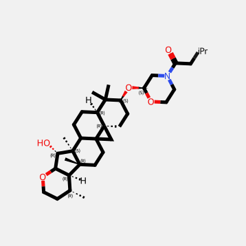 CC(C)CC(=O)N1CCO[C@@H](O[C@H]2CC[C@]34CC35CC[C@]3(C)[C@@H]6C(OCC[C@H]6C)[C@H](O)[C@@]3(C)C5CC[C@H]4C2(C)C)C1